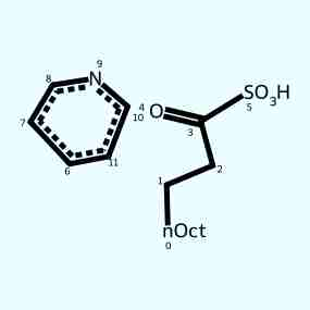 CCCCCCCCCCC(=O)S(=O)(=O)O.c1ccncc1